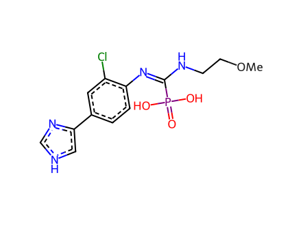 COCCNC(=Nc1ccc(-c2c[nH]cn2)cc1Cl)P(=O)(O)O